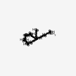 NN[C@@H](CCCCNC(=O)COCCOCCNC(=O)COCCOCCNC(=O)CC[C@H](NC(=O)CC[C@H](NC(=O)CC[C@H](NC(=O)CC[C@H](NC(=O)CCCCCCCCCCCCCCC(=O)O)C(=O)O)C(=O)O)C(=O)O)C(=O)O)C(=O)O